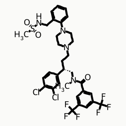 CN(C[C@@H](CCN1CCN(c2ccccc2CNS(C)(=O)=O)CC1)c1ccc(Cl)c(Cl)c1)C(=O)c1cc(C(F)(F)F)cc(C(F)(F)F)c1